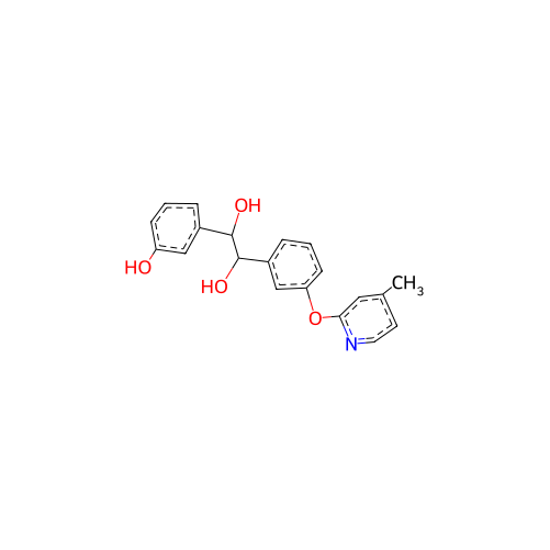 Cc1ccnc(Oc2cccc(C(O)C(O)c3cccc(O)c3)c2)c1